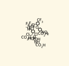 Cc1nn(-c2cc(CC(Cl)C(=O)O)c(Cl)cc2F)c(=O)n1C(F)F.O=C(O)CNCP(=O)(O)O.O=C(O)c1cc(Oc2ccc(C(F)(F)F)cc2Cl)ccc1[N+](=O)[O-]